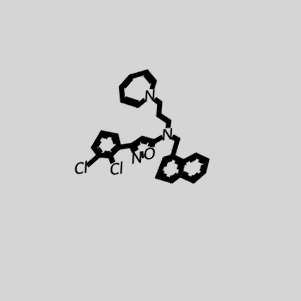 Clc1cccc(-c2cc(N(CCCN3C=CC=CC=C3)Cc3cccc4ccccc34)on2)c1Cl